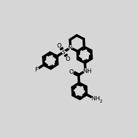 Nc1cccc(C(=O)Nc2ccc3c(c2)N(S(=O)(=O)c2ccc(F)cc2)CCC3)c1